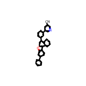 N#Cc1cncc(-c2cccc(-c3cc4oc5cc(-c6ccccc6)ccc5c4c4ccccc34)c2)c1